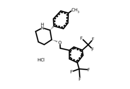 Cc1ccc([C@H]2NCCC[C@H]2OCc2cc(C(F)(F)F)cc(C(F)(F)F)c2)cc1.Cl